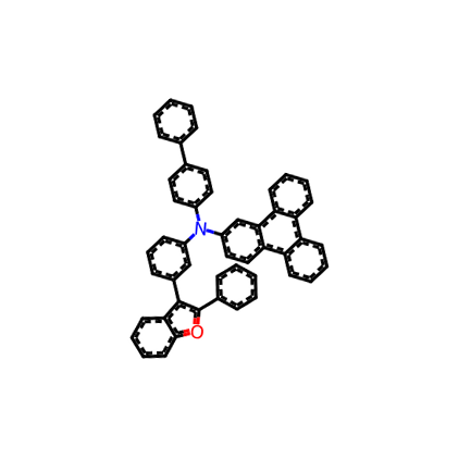 c1ccc(-c2ccc(N(c3cccc(-c4c(-c5ccccc5)oc5ccccc45)c3)c3ccc4c5ccccc5c5ccccc5c4c3)cc2)cc1